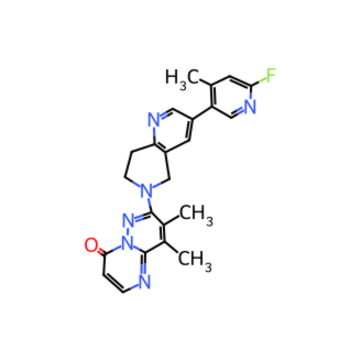 Cc1cc(F)ncc1-c1cnc2c(c1)CN(c1nn3c(=O)ccnc3c(C)c1C)CC2